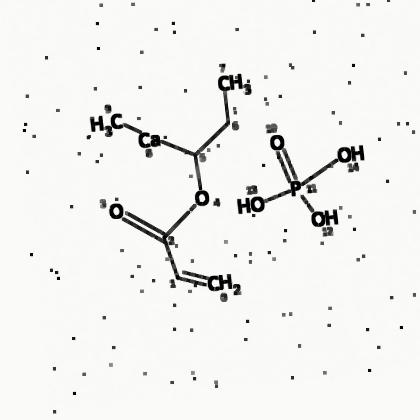 C=CC(=O)O[CH](CC)[Ca][CH3].O=P(O)(O)O